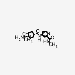 CNC(=O)c1cc(NC(=O)[C@H]2CC[C@H](C(C)(C)N)CC2)ccn1